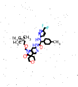 CC1CCC([C@H](Nc2ccc(C(F)F)nn2)C(=O)Nc2cc3c(cn2)C2(CCOCC2)C(=O)N3COCC[Si](C)(C)C)CC1